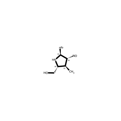 CCC[C@@H]1N[C@@H](CO)[C@H](C)[C@H]1N=O